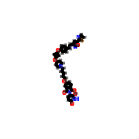 O=C1CCC(N2C(=O)c3ccc(OCCCCCN4CCC(O[C@H]5C[C@H](Oc6ccc(/C=C/c7cc(-c8nccs8)on7)cc6)C5)CC4)cc3C2=O)C(=O)N1